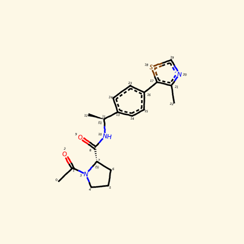 CC(=O)N1CCC[C@H]1C(=O)N[C@@H](C)c1ccc(-c2scnc2C)cc1